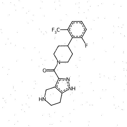 O=C(c1n[nH]c2c1CNCC2)N1CCC(c2c(F)cccc2C(F)(F)F)CC1